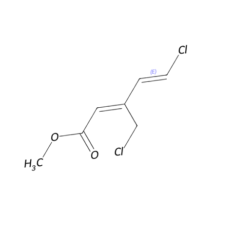 COC(=O)C=C(/C=C/Cl)CCl